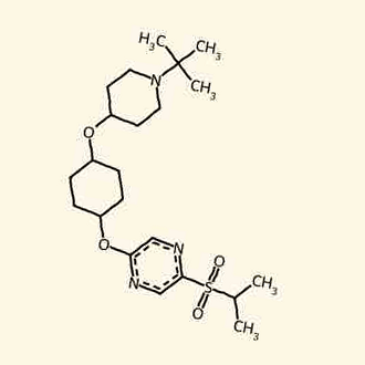 CC(C)S(=O)(=O)c1cnc(OC2CCC(OC3CCN(C(C)(C)C)CC3)CC2)cn1